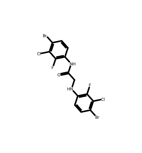 O=C(CNc1ccc(Br)c(Cl)c1F)Nc1ccc(Br)c(Cl)c1F